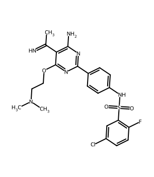 CC(=N)c1c(N)nc(-c2ccc(NS(=O)(=O)c3cc(Cl)ccc3F)cc2)nc1OCCN(C)C